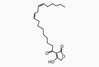 CCCCC/C=C\C/C=C\CCCCCCCC(=O)C1=C(O)COC1=O